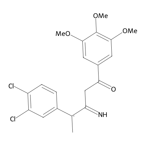 COc1cc(C(=O)CC(=N)[C](C)c2ccc(Cl)c(Cl)c2)cc(OC)c1OC